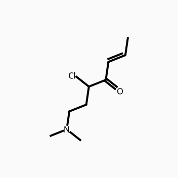 CC=CC(=O)C(Cl)CCN(C)C